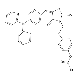 CCC(=O)Oc1ccc(CCN2C(=O)/C(=C\c3ccc(N(c4ccccc4)c4ccccc4)cc3)OC2=S)cc1